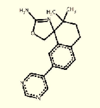 CC1(C)CCc2ccc(-c3cncnc3)cc2C12COC(N)=N2